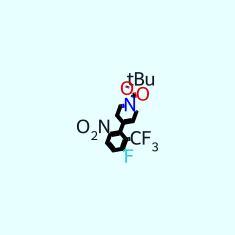 CC(C)(C)OC(=O)N1CC=C(c2c([N+](=O)[O-])ccc(F)c2C(F)(F)F)CC1